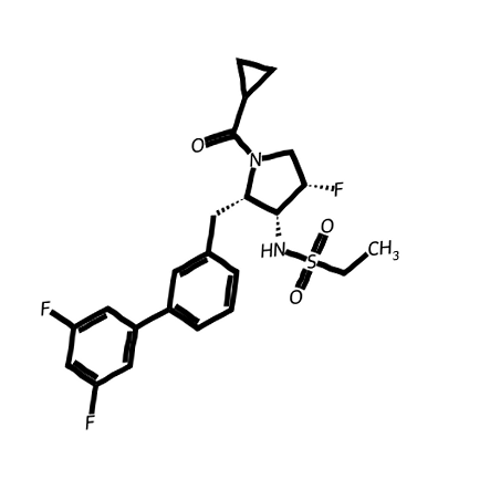 CCS(=O)(=O)N[C@H]1[C@@H](F)CN(C(=O)C2CC2)[C@H]1Cc1cccc(-c2cc(F)cc(F)c2)c1